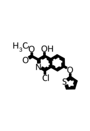 COC(=O)c1nc(Cl)c2cc(Oc3cccs3)ccc2c1O